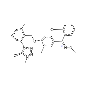 CO/N=C(/c1ccc(OCc2c(C)cccc2-n2nnn(C)c2=O)c(C)c1)c1ccccc1Cl